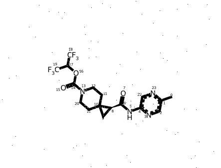 Cc1cnc(NC(=O)[C@H]2CC23CCN(C(=O)OC(C(F)(F)F)C(F)(F)F)CC3)cn1